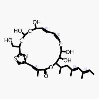 C/C=C(C)/C=C(\C)CC(C)C1OC(=O)/C(C)=C/c2csc(n2)C(CO)CC(O)CC(O)/C=C/C=C\CC(O)C1O